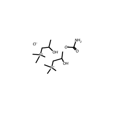 CC(O)C[N+](C)(C)C.CC(O)C[N+](C)(C)C.NC(=O)[O-].[Cl-]